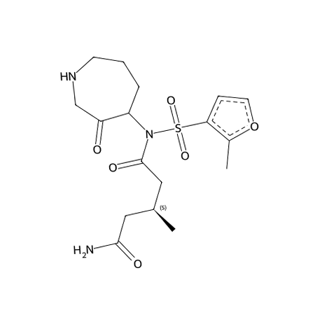 Cc1occc1S(=O)(=O)N(C(=O)C[C@@H](C)CC(N)=O)C1CCCNCC1=O